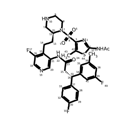 CC(=O)Nc1nc(S(=O)(=O)N2CCNC[C@@H]2CCc2c(F)cncc2NC(=O)C[C@@H](c2ccc(F)cc2)c2cc(C)cc(F)c2)c(C)s1